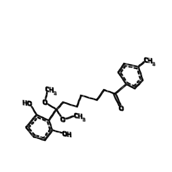 COC(CCCCCC(=O)c1ccc(C)cc1)(OC)c1c(O)cccc1O